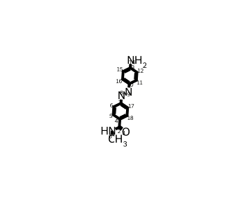 CNC(=O)c1ccc(N=Nc2ccc(N)cc2)cc1